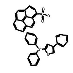 O=S(=O)([O-])c1ccc2ccc3cccc4ccc1c2c34.c1ccc(-c2csc([S+](c3ccccc3)c3ccccc3)c2)cc1